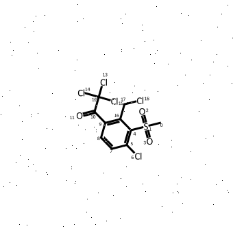 CS(=O)(=O)c1c(Cl)ccc(C(=O)C(Cl)(Cl)Cl)c1CCl